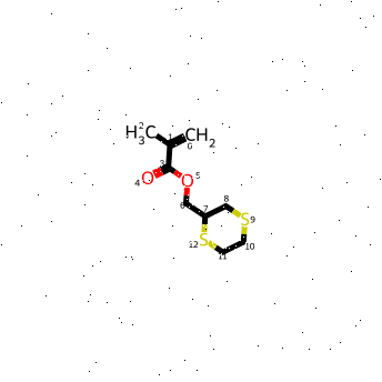 C=C(C)C(=O)OCC1CSCCS1